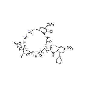 COc1cc2cc(c1Cl)N(C)C(=O)C[C@H](OC(=O)Nc1c(C)cc([N+](=O)[O-])cc1N1CCCC1)[C@]1(C)O[C@H]1[C@H](C)[C@@H]1C[C@@](O)(NC(=O)O1)[C@H](OC)/C=C/C=C(\C)C2